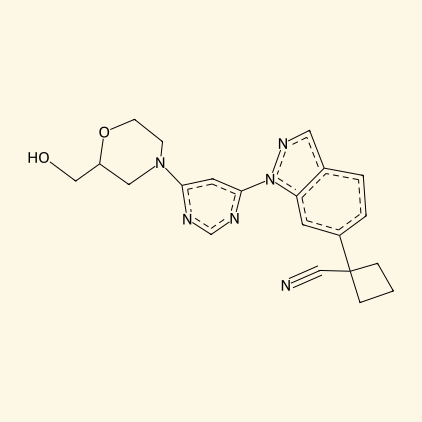 N#CC1(c2ccc3cnn(-c4cc(N5CCOC(CO)C5)ncn4)c3c2)CCC1